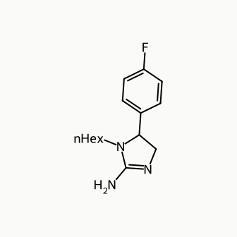 CCCCCCN1C(N)=NCC1c1ccc(F)cc1